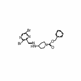 O=C(OCc1ccccc1)N1CCC(N/N=C/c2nc(Br)cnc2Br)CC1